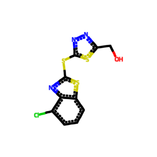 OCc1nnc(Sc2nc3c(Cl)cccc3s2)s1